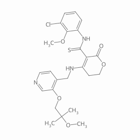 COc1c(Cl)cccc1NC(=S)C1=C(NCc2ccncc2OCC(C)(C)OC)CCOC1=O